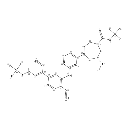 CO[C@H]1CN(C(=O)OC(C)(C)C)CCN(c2cccc(Nc3cc(/C(C=N)=C/NCC(F)(F)F)ncc3C=N)n2)C1